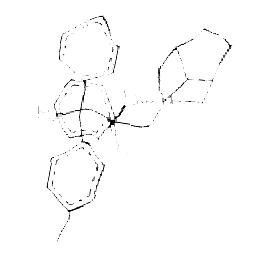 Cc1ccc(C(O)(C(=O)OCC2C3CCC2CN(Cc2ccccc2)C3)c2ccccc2)cc1